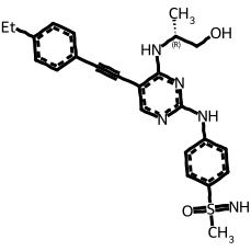 CCc1ccc(C#Cc2cnc(Nc3ccc(S(C)(=N)=O)cc3)nc2N[C@H](C)CO)cc1